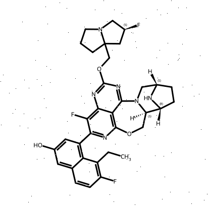 CCc1c(F)ccc2cc(O)cc(-c3nc4c5c(nc(OCC67CCCN6C[C@@H](F)C7)nc5c3F)N3C[C@@H]5CC[C@@H](N5)[C@H]3CO4)c12